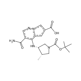 C[C@H]1CN(C(=O)OC(C)(C)C)C[C@H]1Nc1c(C(N)=O)cnn2cc(C(=O)O)cc12